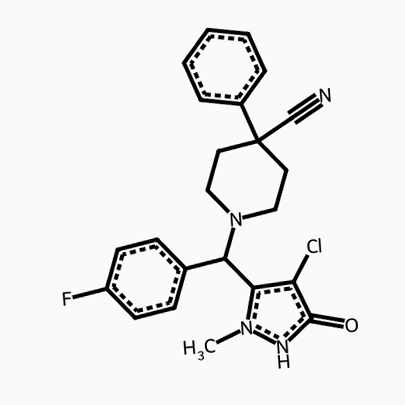 Cn1[nH]c(=O)c(Cl)c1C(c1ccc(F)cc1)N1CCC(C#N)(c2ccccc2)CC1